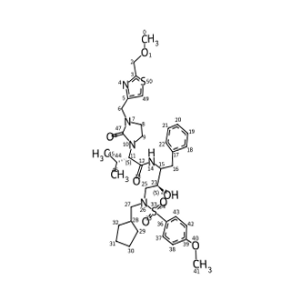 COCc1nc(CN2CCN([C@H](C(=O)NC(Cc3ccccc3)[C@@H](O)CN(CC3CCCC3)S(=O)(=O)c3ccc(OC)cc3)C(C)C)C2=O)cs1